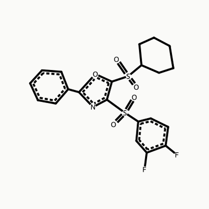 O=S(=O)(c1ccc(F)c(F)c1)c1nc(-c2ccccc2)oc1S(=O)(=O)C1CCCCC1